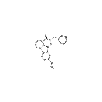 COc1ccc2c3cccc4c(=O)c(Cc5cccnc5)cn(c2c1)c43